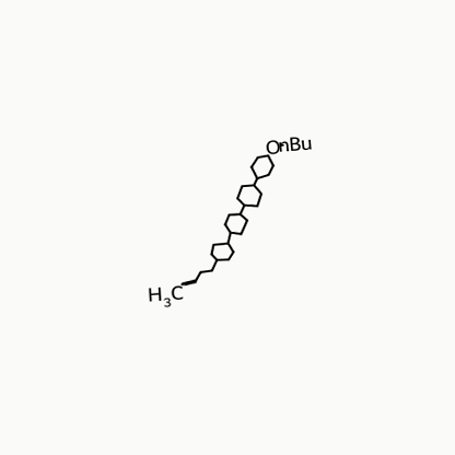 C/C=C/CCC1CCC(C2CCC(C3CCC(C4CCC(OCCCC)CC4)CC3)CC2)CC1